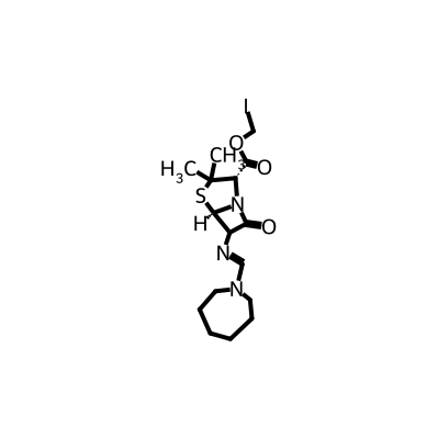 CC1(C)S[C@@H]2C(/N=C/N3CCCCCC3)C(=O)N2[C@H]1C(=O)OCI